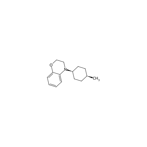 C[C@H]1CC[C@@H](N2CCOc3ccccc32)CC1